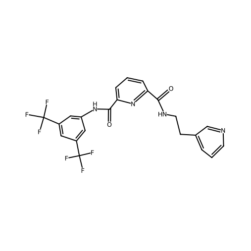 O=C(NCCc1cccnc1)c1cccc(C(=O)Nc2cc(C(F)(F)F)cc(C(F)(F)F)c2)n1